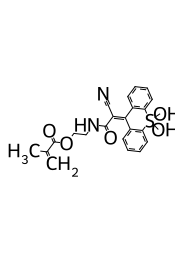 C=C(C)C(=O)OCCNC(=O)C(C#N)=C1c2ccccc2S(O)(O)c2ccccc21